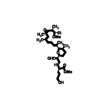 CC[C@H](OC)[C@@H](C)[C@H]1O[C@]1(C)C[C@H](C)/C=C/C=C(\C)[C@H]1O[C@@H](C(C=O)CN[C@@H](CCCO)C(=O)OC)CC[C@@H]1C